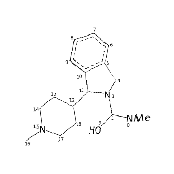 CNC(O)N1Cc2ccccc2C1C1CCN(C)CC1